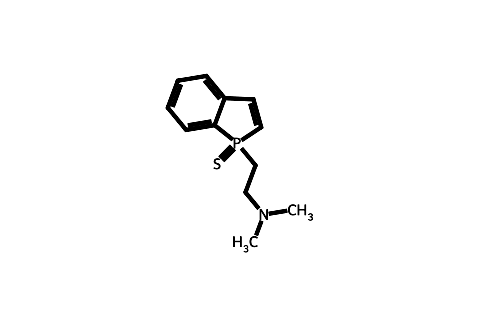 CN(C)CCP1(=S)C=Cc2ccccc21